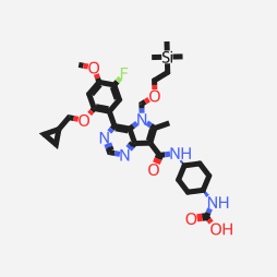 COc1cc(OCC2CC2)c(-c2ncnc3c(C(=O)N[C@H]4CC[C@H](NC(=O)O)CC4)c(C)n(COCC[Si](C)(C)C)c23)cc1F